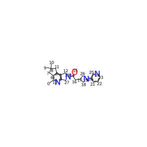 Cc1nc2c(c3c1CC(C)(C)C3)CN(C(=O)CC1CN(c3cccnc3)C1)C2